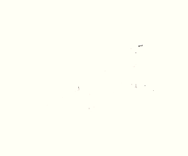 CCCCOC(=O)c1ccc(B(O)O)c(N)c1